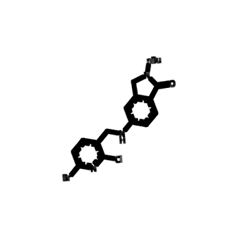 CCCCN1Cc2cc(NCc3ccc(Br)nc3Cl)ccc2C1=O